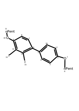 CCCCCOc1ccc(-c2ccc(OCCCCC)c(I)c2I)cc1